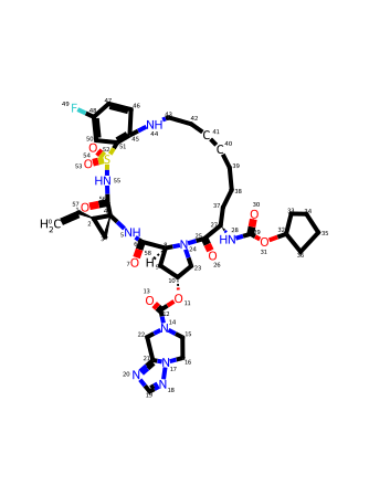 C=C[C@@H]1C[C@@]12NC(=O)[C@@H]1C[C@@H](OC(=O)N3CCn4ncnc4C3)CN1C(=O)[C@@H](NC(=O)OC1CCCC1)CCCCCCCNc1ccc(F)cc1S(=O)(=O)NC2=O